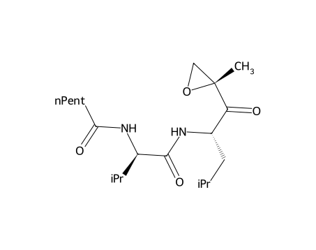 CCCCCC(=O)N[C@@H](C(=O)N[C@@H](CC(C)C)C(=O)[C@@]1(C)CO1)C(C)C